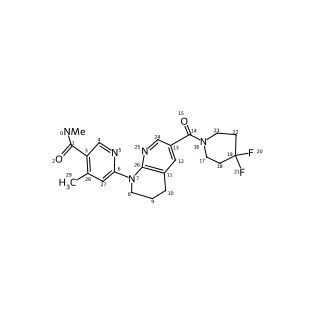 CNC(=O)c1cnc(N2CCCc3cc(C(=O)N4CCC(F)(F)CC4)cnc32)cc1C